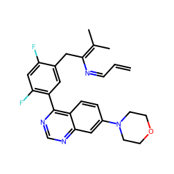 C=C/C=N\C(Cc1cc(-c2ncnc3cc(N4CCOCC4)ccc23)c(F)cc1F)=C(C)C